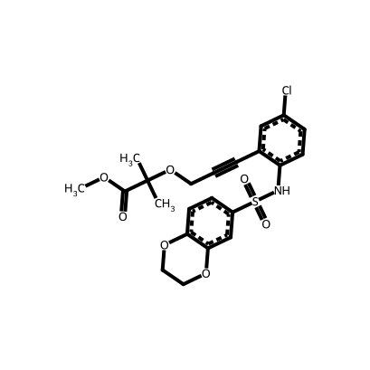 COC(=O)C(C)(C)OCC#Cc1cc(Cl)ccc1NS(=O)(=O)c1ccc2c(c1)OCCO2